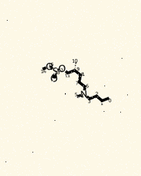 CCCCN(C)CCC[C@@H](C)COS(=O)OC